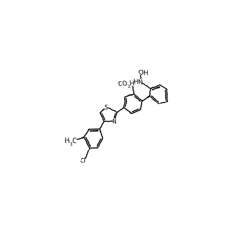 Cc1cc(-c2csc(-c3ccc(-c4ccccc4NO)c(C(=O)O)c3)n2)ccc1Cl